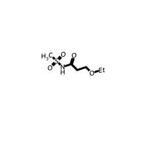 [CH2]COCCC(=O)NS(C)(=O)=O